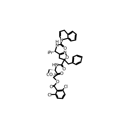 CC(C)[C@H](NC(=O)N1C=CCc2ccccc21)C1=NOC(Cc2ccccc2)(C(=O)N[C@@H](CC(=O)O)C(=O)COC(=O)c2c(Cl)cccc2Cl)C1